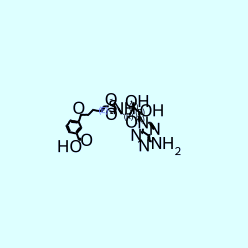 Nc1ncnc2c1ncn2[C@@H]1O[C@H](CNS(=O)(=O)/C=C/CCC(=O)c2cccc(C(=O)O)c2)[C@@H](O)[C@H]1O